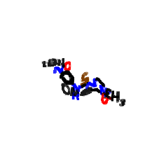 COc1cc2nc(C(C)(C)C)oc2cc1NC(=S)N1CC[N+](C)([O-])CC1